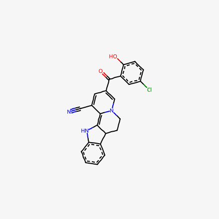 N#CC1=CC(C(=O)c2cc(Cl)ccc2O)=CN2CCC3C(=C12)Nc1ccccc13